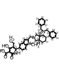 CCc1c(-c2ccc3c(c2)cc(CN2C[C@H]4CCC[C@@H](N(Cc5ccccc5)Cc5ccccc5)[C@H]4C2)n3C)[nH]c(=O)c(C(=O)O)c1O